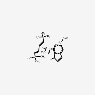 C[N-]C.C[N-]C.C[N-]C.C[Si](C)(C)C=CC=C[Si](C)(C)C.[Ti+3][CH]1C=Cc2ccccc21